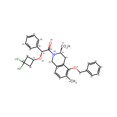 Cc1ccc2c(c1OCc1ccccc1)C[C@H](C(=O)O)N(C(=O)[C@@H](OC1CC(F)(F)C1)c1ccccc1)C2